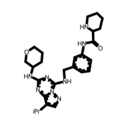 CC(C)c1cnn2c(NCc3cccc(NC(=O)C4CCCCN4)c3)nc(NC3CCCOC3)nc12